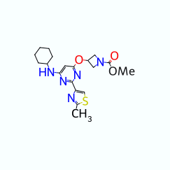 COC(=O)N1CC(Oc2cc(NC3CCCCC3)nc(-c3csc(C)n3)n2)C1